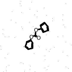 O=C(Oc1c[c]ccc1)Oc1ccccc1